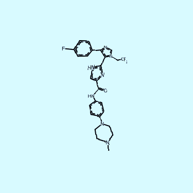 CN1CCN(c2ccc(NC(=O)c3c[nH]c(-c4c(-c5ccc(F)cc5)ncn4CC(F)(F)F)n3)cc2)CC1